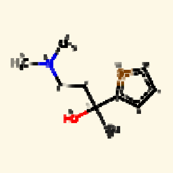 CN(C)CCC(O)(c1cccs1)C(C)(C)C